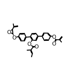 C=C(C)C(=O)Oc1ccc(-c2ccc(-c3ccc(O[C@H]4OC4C(=C)C)cc3)c(OC(=O)/C(C)=C/C)c2)cc1